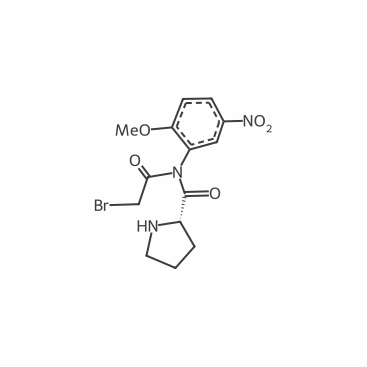 COc1ccc([N+](=O)[O-])cc1N(C(=O)CBr)C(=O)[C@@H]1CCCN1